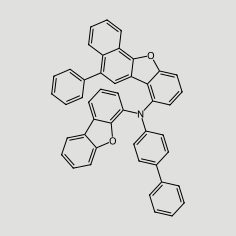 c1ccc(-c2ccc(N(c3cccc4c3oc3ccccc34)c3cccc4oc5c6ccccc6c(-c6ccccc6)cc5c34)cc2)cc1